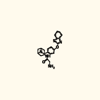 NCC(=O)NC1CC2CC(C1)N2Cc1ccc(Oc2nc3ccccc3s2)cc1